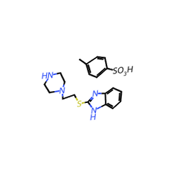 Cc1ccc(S(=O)(=O)O)cc1.c1ccc2[nH]c(SCCN3CCNCC3)nc2c1